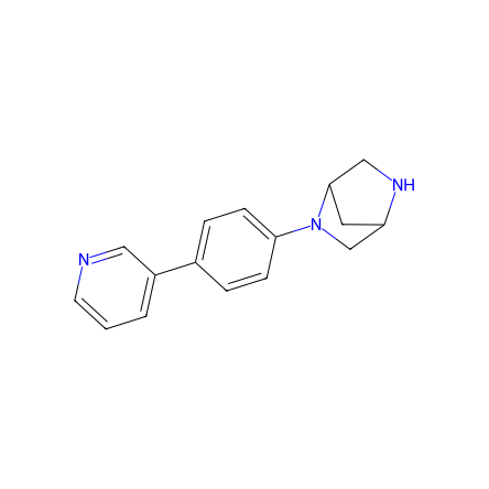 c1cncc(-c2ccc(N3CC4CC3CN4)cc2)c1